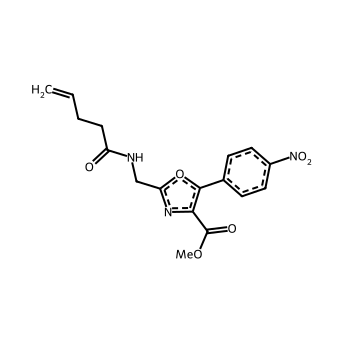 C=CCCC(=O)NCc1nc(C(=O)OC)c(-c2ccc([N+](=O)[O-])cc2)o1